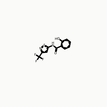 O=C(Nc1cc(C(F)(F)F)ns1)c1ccccc1O